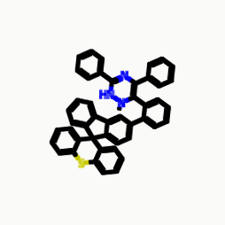 CN1NC(c2ccccc2)=NC(c2ccccc2)=C1c1ccccc1-c1ccc2c(c1)-c1ccccc1C21c2ccccc2Sc2ccccc21